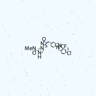 CNC(=O)C1CN(C2=NC(=O)/C(=C/c3ccc4c(cnn4Cc4ccc(Cl)cc4C(F)(F)F)c3)S2)CCN1